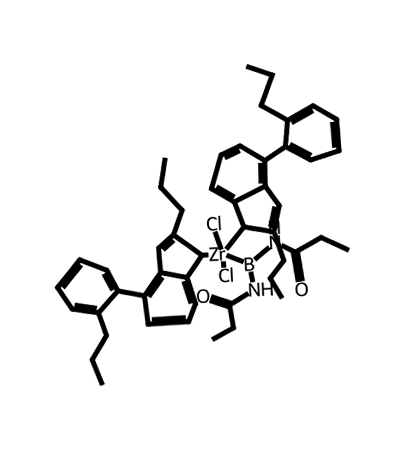 CCCC1=Cc2c(-c3ccccc3CCC)cccc2[CH]1[Zr]([Cl])([Cl])([B](NC(=O)CC)NC(=O)CC)[CH]1C(CCC)=Cc2c(-c3ccccc3CCC)cccc21